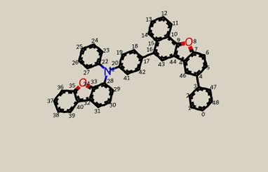 c1ccc(-c2ccc3oc4c5ccccc5c(-c5ccc(N(c6ccccc6)c6cccc7c6oc6ccccc67)cc5)cc4c3c2)cc1